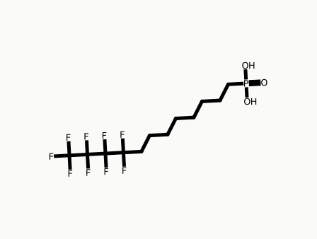 O=P(O)(O)CCCCCCCCC(F)(F)C(F)(F)C(F)(F)C(F)(F)F